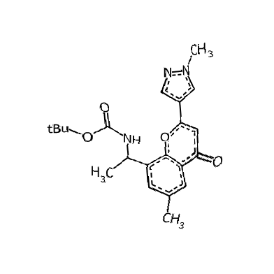 Cc1cc(C(C)NC(=O)OC(C)(C)C)c2oc(-c3cnn(C)c3)cc(=O)c2c1